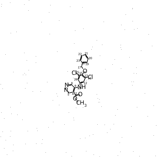 COC(=O)c1cnncc1Nc1cc(Cl)c(OCc2ccccc2)c(Cl)c1